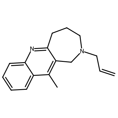 C=CCN1CCCc2nc3ccccc3c(C)c2C1